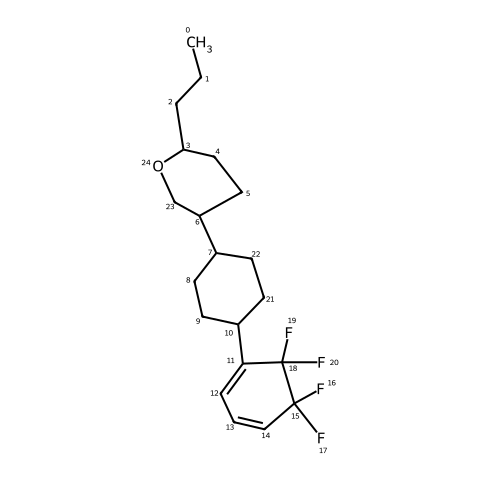 CCCC1CCC(C2CCC(C3=CC=CC(F)(F)C3(F)F)CC2)CO1